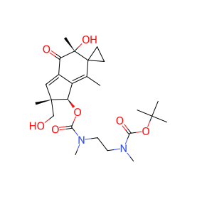 CC1=C2C(=C[C@@](C)(CO)[C@@H]2OC(=O)N(C)CCN(C)C(=O)OC(C)(C)C)C(=O)[C@](C)(O)C12CC2